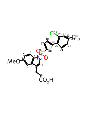 COc1ccc2c(c1)c(CCC(=O)O)cn2S(=O)(=O)c1ccc(-c2ccc(C(F)(F)F)cc2Cl)s1